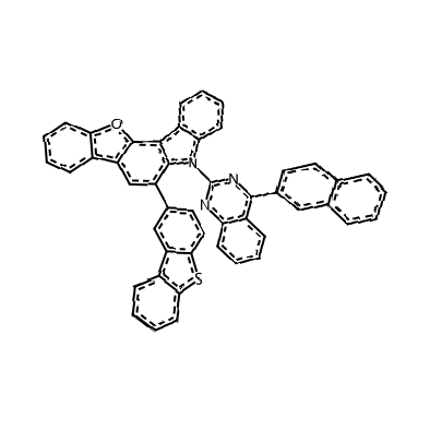 c1ccc2cc(-c3nc(-n4c5ccccc5c5c6oc7ccccc7c6cc(-c6ccc7sc8ccccc8c7c6)c54)nc4ccccc34)ccc2c1